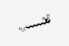 CCCCCCCCCCCc1cc[pH]c1[P]